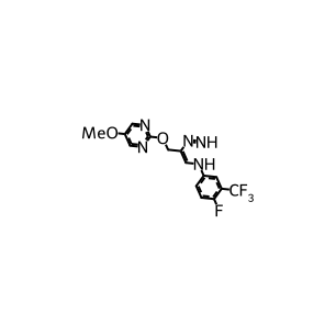 COc1cnc(OC/C(=C/Nc2ccc(F)c(C(F)(F)F)c2)N=N)nc1